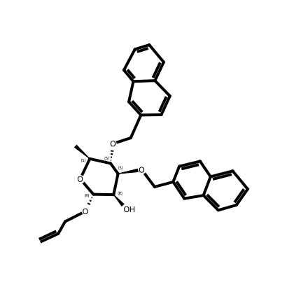 C=CCO[C@@H]1O[C@@H](C)[C@H](OCc2ccc3ccccc3c2)[C@@H](OCc2ccc3ccccc3c2)[C@H]1O